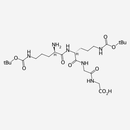 CC(C)(C)OC(=O)NCCC[C@@H](N)C(=O)N[C@H](CCCNC(=O)OC(C)(C)C)C(=O)NCC(=O)NCC(=O)O